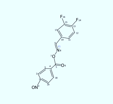 O=Nc1ccc(C(=O)O/N=C/c2ccc(F)c(F)c2)cc1